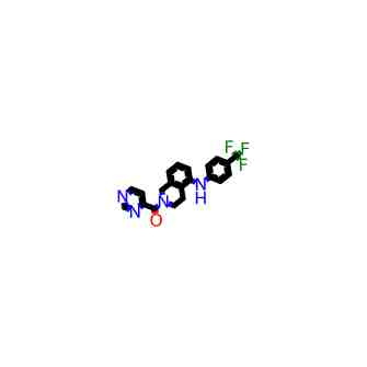 O=C(c1ccncn1)N1CCc2c(cccc2Nc2ccc(C(F)(F)F)cc2)C1